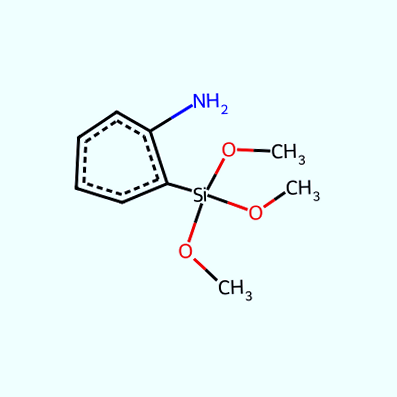 CO[Si](OC)(OC)c1ccccc1N